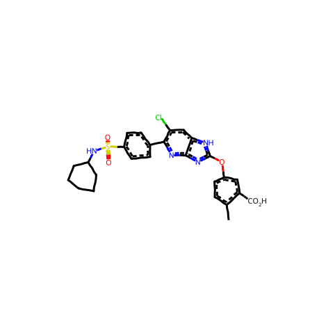 Cc1ccc(Oc2nc3nc(-c4ccc(S(=O)(=O)NC5CCCCC5)cc4)c(Cl)cc3[nH]2)cc1C(=O)O